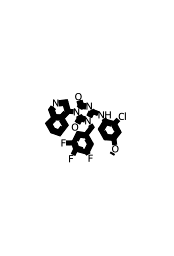 COc1ccc(Nc2nc(=O)n(-c3cncc4ccccc34)c(=O)n2Cc2cc(F)c(F)c(F)c2)c(Cl)c1